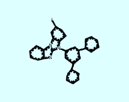 Ic1ccc2c(c1)n1c3ccccc3nc1n2-c1cc(-c2ccccc2)cc(-c2ccccc2)c1